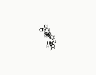 Cc1cnc(NC(=O)c2cccc(NS(=O)(=O)c3ccc(Cl)c(Cl)c3)c2)[nH]1